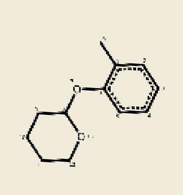 Cc1ccccc1OC1CCCCO1